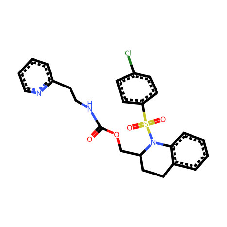 O=C(NCCc1ccccn1)OCC1CCc2ccccc2N1S(=O)(=O)c1ccc(Cl)cc1